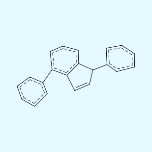 C1=Cc2c(cccc2-c2ccccc2)[C]1c1ccccc1